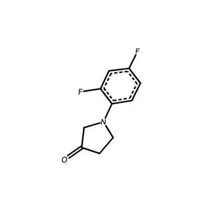 O=C1CCN(c2ccc(F)cc2F)C1